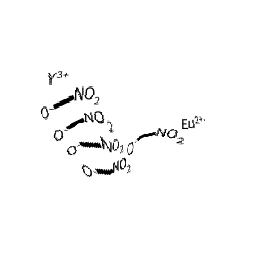 O=[N+]([O-])[O-].O=[N+]([O-])[O-].O=[N+]([O-])[O-].O=[N+]([O-])[O-].O=[N+]([O-])[O-].[Eu+2].[Y+3]